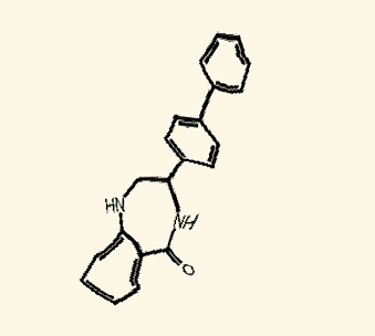 O=C1NC(c2ccc(-c3ccccc3)cc2)CNc2ccccc21